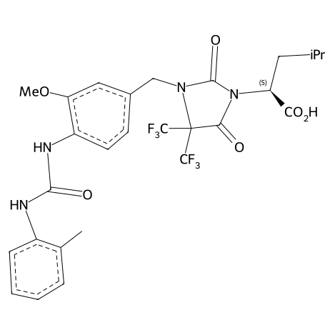 COc1cc(CN2C(=O)N([C@@H](CC(C)C)C(=O)O)C(=O)C2(C(F)(F)F)C(F)(F)F)ccc1NC(=O)Nc1ccccc1C